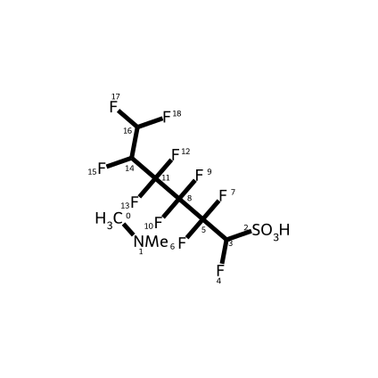 CNC.O=S(=O)(O)C(F)C(F)(F)C(F)(F)C(F)(F)C(F)C(F)F